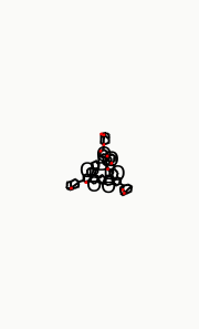 c1ccc2c(c1)Oc1cc(C34CC5CC(CC(C5)C3)C4)cc3c1B2c1cc2c(cc1O3)Oc1cc(C34CC5CC(CC(C5)C3)C4)cc3c1B2c1cc2c(cc1O3)Oc1cc(C34CC5CC(CC(C5)C3)C4)cc3c1B2c1ccccc1O3